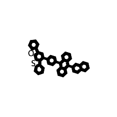 c1ccc2cc(-c3c4ccccc4c(-c4ccc(-c5cc6c7ccccc7oc6c6sc7ccccc7c56)cc4)c4ccccc34)ccc2c1